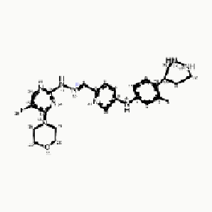 Cc1cc(Nc2ccc(/C=N/Nc3ncc(F)c(N4CCOCC4)n3)nc2)ccc1C1CCNNC1